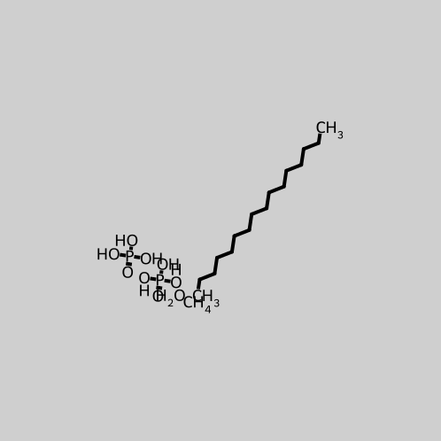 C.CCCCCCCCCCCCCCCC.O.O=P(O)(O)O.O=P(O)(O)O